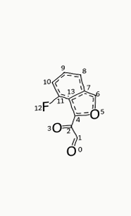 O=CC(=O)c1occ2cccc(F)c12